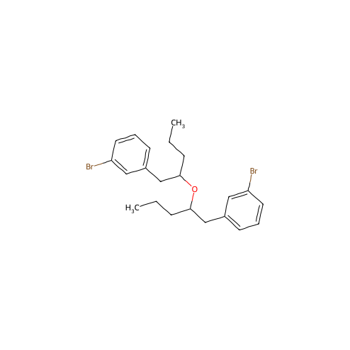 CCCC(Cc1cccc(Br)c1)OC(CCC)Cc1cccc(Br)c1